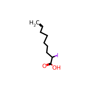 C=CCCCCCC(I)C(=O)O